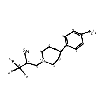 Nc1ccc(C2CCN(CC(O)C(F)(F)F)CC2)cc1